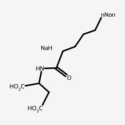 CCCCCCCCCCCCCC(=O)NC(CC(=O)O)C(=O)O.[NaH]